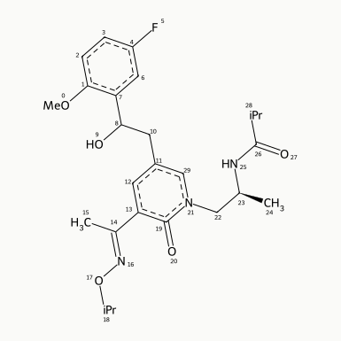 COc1ccc(F)cc1C(O)Cc1cc(/C(C)=N/OC(C)C)c(=O)n(C[C@H](C)NC(=O)C(C)C)c1